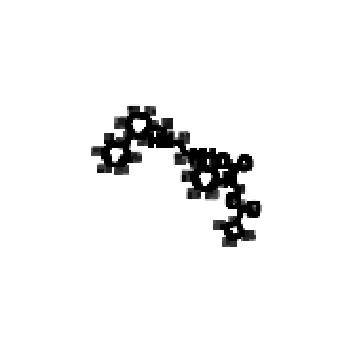 O=C(OCn1c(=O)oc2c(NCCNCc3cccc(-c4ccccc4)c3)cccc21)C1CCC1